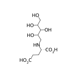 O=C(O)CC[C@H](NCC(O)C(O)C(O)CO)C(=O)O